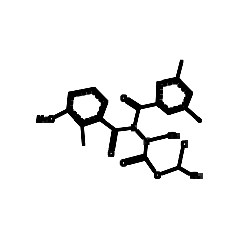 COc1cccc(C(=O)N(C(=O)c2cc(C)cc(C)c2)N(C(=O)OC(Cl)C(C)(C)C)C(C)(C)C)c1C